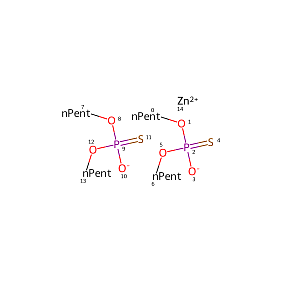 CCCCCOP([O-])(=S)OCCCCC.CCCCCOP([O-])(=S)OCCCCC.[Zn+2]